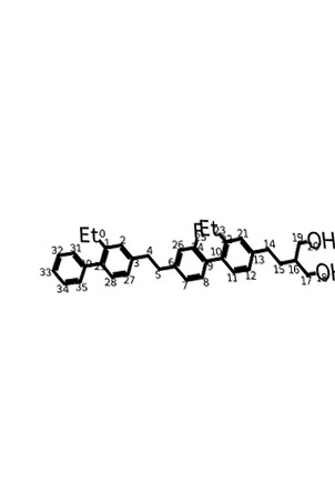 CCc1cc(CCc2ccc(-c3ccc(CCC(CO)CO)cc3CC)c(F)c2)ccc1-c1ccccc1